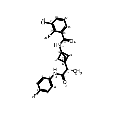 C[C@H](C(=O)Nc1ccc(F)cc1)C12CC(NC(=O)c3cccc(Cl)c3F)(C1)C2